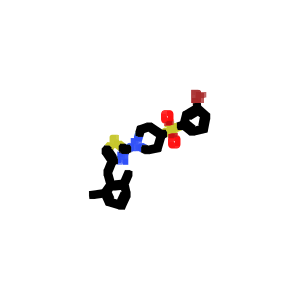 Cc1cccc(C)c1Cc1csc(N2CCC(S(=O)(=O)c3cccc(Br)c3)CC2)n1